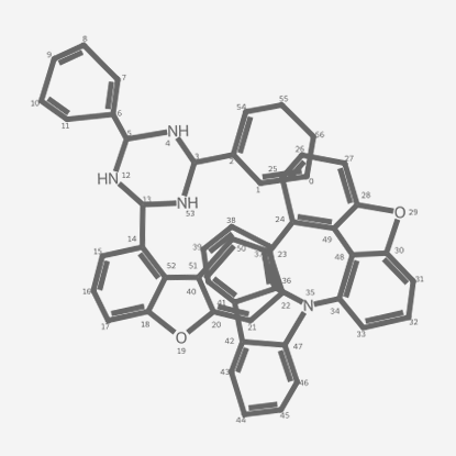 C1=CC(C2NC(c3ccccc3)NC(c3cccc4oc5ccc(-c6cccc7oc8cccc(-n9c%10ccccc%10c%10ccccc%109)c8c67)cc5c34)N2)=CCC1